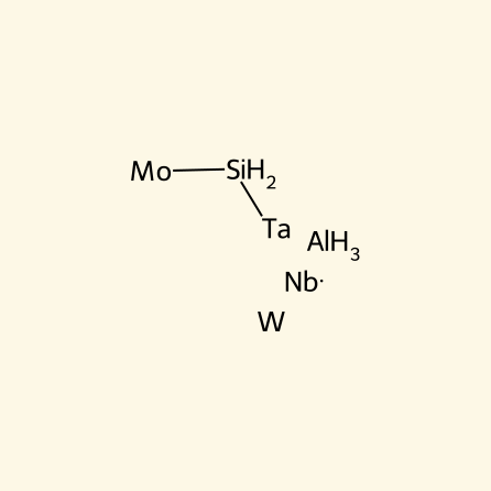 [AlH3].[Mo][SiH2][Ta].[Nb].[W]